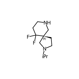 CC(C)N1CC[C@@]2(CNCCC2(F)F)C1